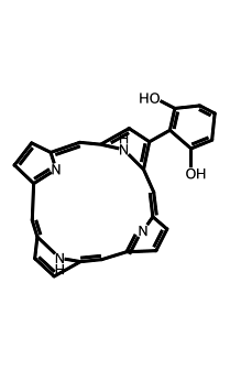 Oc1cccc(O)c1-c1cc2cc3nc(cc4ccc(cc5nc(cc1[nH]2)C=C5)[nH]4)C=C3